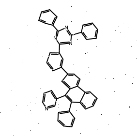 c1ccc(-c2nc(-c3ccccc3)nc(-c3cccc(-c4ccc5c(c4)c(-c4cccnc4)c(-c4ccccc4)c4ccccc45)c3)n2)cc1